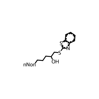 CCCCCCCCCCCCC(O)CSc1nc2ccccc2s1